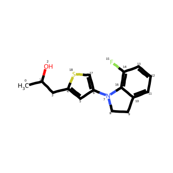 CC(O)Cc1cc(N2CCc3cccc(F)c32)cs1